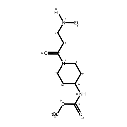 CCN(CC)CCC(=O)N1CCC(NC(=O)OC(C)(C)C)CC1